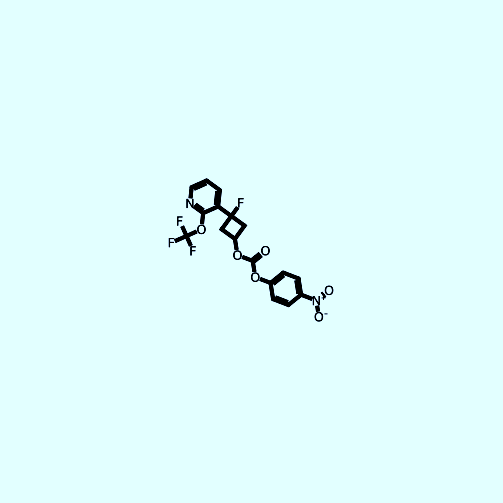 O=C(Oc1ccc([N+](=O)[O-])cc1)OC1CC(F)(c2cccnc2OC(F)(F)F)C1